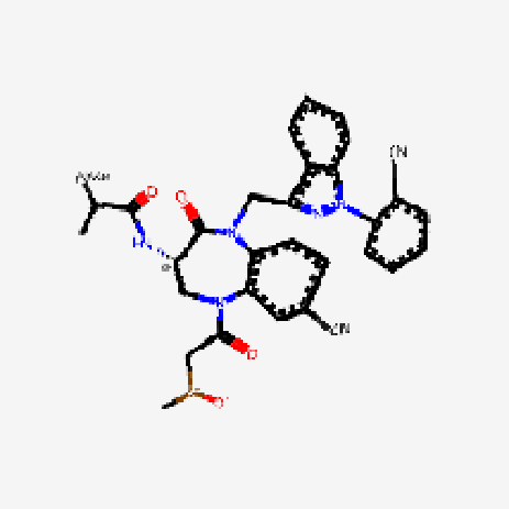 CNC(C)C(=O)N[C@H]1CN(C(=O)C[S+](C)[O-])c2cc(C#N)ccc2N(Cc2nn(-c3ccccc3C#N)c3ccccc23)C1=O